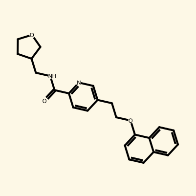 O=C(NCC1CCOC1)c1ccc(CCOc2cccc3ccccc23)cn1